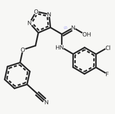 N#Cc1cccc(OCc2nonc2/C(=N/O)Nc2ccc(F)c(Cl)c2)c1